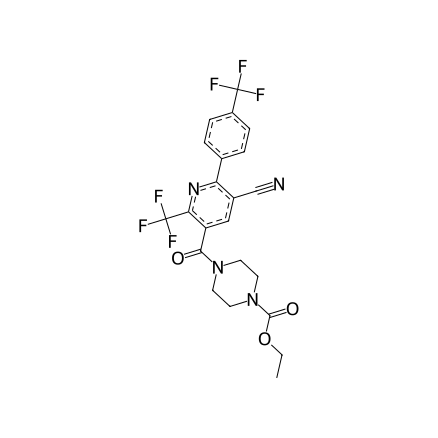 CCOC(=O)N1CCN(C(=O)c2cc(C#N)c(-c3ccc(C(F)(F)F)cc3)nc2C(F)(F)F)CC1